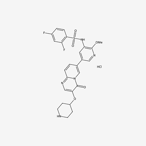 COc1ncc(-c2ccc3ncc(OC4CCNCC4)c(=O)n3c2)cc1NS(=O)(=O)c1ccc(F)cc1F.Cl